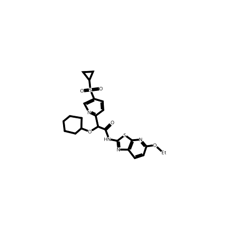 CCOc1ccc2nc(NC(=O)C(OC3CCCCC3)c3ccc(S(=O)(=O)C4CC4)cn3)sc2n1